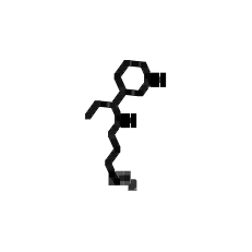 CCC(NCCCN)C1CCCNC1